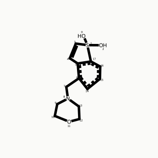 OS1(O)C=Cc2c(CN3CCOCC3)cccc21